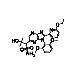 CCOc1cccc(-c2nc3ncc(C(C(C)(C)O)S(N)(=O)=O)nc3n2-c2c(OC)cccc2OC)n1